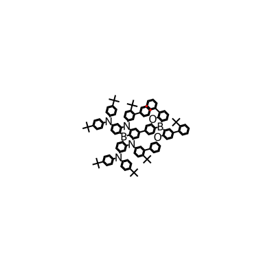 CC(C)(C)c1ccc(N(c2ccc(C(C)(C)C)cc2)c2ccc3c(c2)N(c2ccc(C(C)(C)C)c(-c4ccccc4)c2)c2cc(-c4cc5c6c(c4)Oc4c(cccc4-c4ccccc4)B6c4cc(-c6ccccc6C(C)(C)C)ccc4O5)cc4c2B3c2ccc(N(c3ccc(C(C)(C)C)cc3)c3ccc(C(C)(C)C)cc3)cc2N4c2ccc(C(C)(C)C)c(-c3ccccc3)c2)cc1